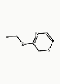 CCSC1=NC=CSC1